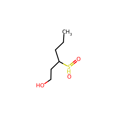 CCCC(CCO)[SH](=O)=O